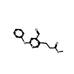 COC(=O)CCc1cnc(Oc2ccccc2)cc1[C]=O